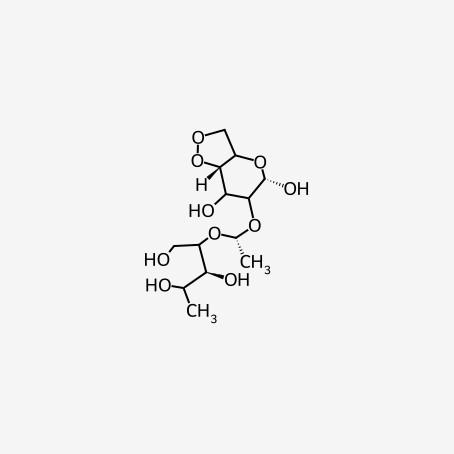 CC(O)[C@H](O)C(CO)O[C@@H](C)OC1C(O)[C@@H]2OOCC2O[C@@H]1O